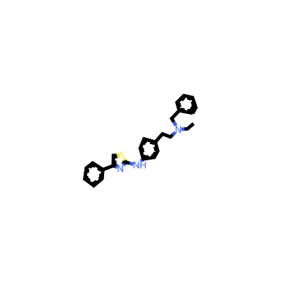 CCN(CCc1ccc(Nc2nc(-c3ccccc3)cs2)cc1)Cc1c#cccc1